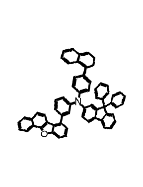 C1=c2ccccc2=C(c2ccc(N(c3cccc(-c4cccc5oc6c7ccccc7ccc6c45)c3)c3ccc4c(c3)C(c3ccccc3)(c3ccccc3)c3ccccc3-4)cc2)CC1